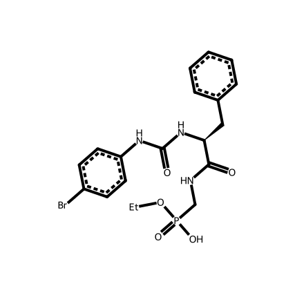 CCOP(=O)(O)CNC(=O)[C@H](Cc1ccccc1)NC(=O)Nc1ccc(Br)cc1